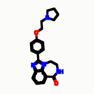 O=C1NCCn2c(-c3ccc(OCCN4CCCC4)cc3)nc3cccc1c32